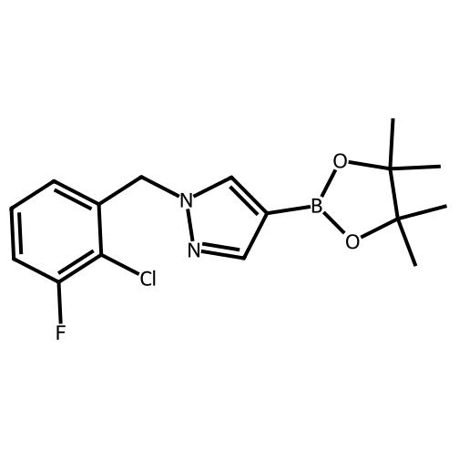 CC1(C)OB(c2cnn(Cc3cccc(F)c3Cl)c2)OC1(C)C